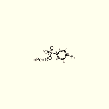 CCCCCOS(=O)(=O)c1ccc(F)cc1